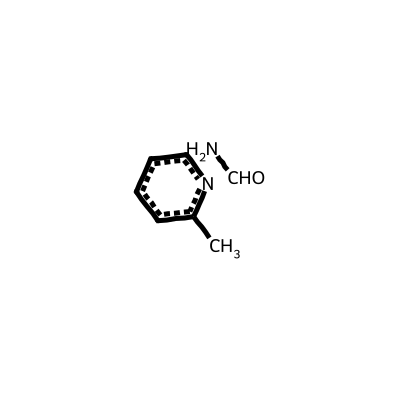 Cc1ccccn1.NC=O